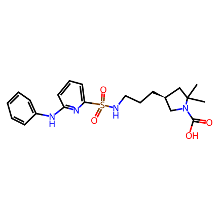 CC1(C)C[C@H](CCCNS(=O)(=O)c2cccc(Nc3ccccc3)n2)CN1C(=O)O